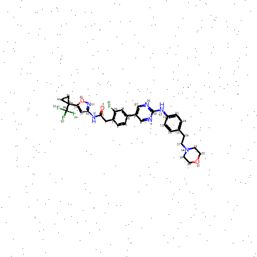 O=C(Cc1ccc(-c2cnc(Nc3ccc(CCN4CCOCC4)cc3)nc2)cc1F)Nc1cc(C2(C(F)(F)F)CC2)on1